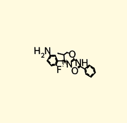 CC1COC(NC(=O)c2ccccc2)=N[C@@]1(C)c1cc(N)ccc1F